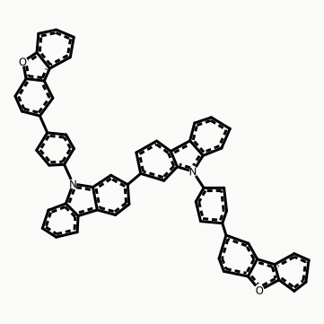 c1ccc2c(c1)oc1ccc(-c3ccc(-n4c5ccccc5c5ccc(-c6ccc7c8ccccc8n(-c8ccc(-c9ccc%10oc%11ccccc%11c%10c9)cc8)c7c6)cc54)cc3)cc12